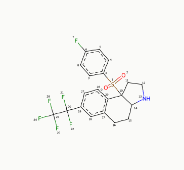 O=S(=O)(c1ccc(F)cc1)C12CCNC1CCc1cc(C(F)(F)C(F)(F)F)ccc12